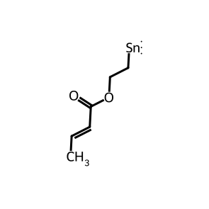 CC=CC(=O)OC[CH2][Sn]